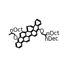 CCCCCCCCCCC(CCCCCCCC)COc1c2ccccc2c2ccc3c4ccc5c(OCC(C)CCCCCCCC)c6ccccc6c6ccc(c7ccc1c2c73)c4c56